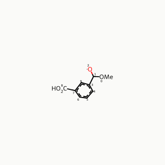 COC([O])c1cccc(C(=O)O)c1